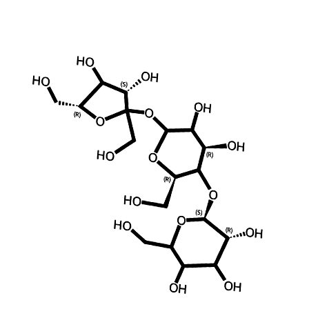 OCC1O[C@@H](OC2[C@H](O)C(O)C(OC3(CO)O[C@H](CO)C(O)[C@@H]3O)O[C@@H]2CO)[C@H](O)C(O)C1O